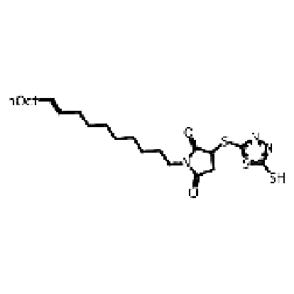 CCCCCCCCC=CCCCCCCCCN1C(=O)CC(Sc2nnc(S)s2)C1=O